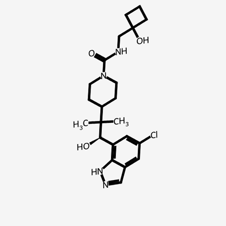 CC(C)(C1CCN(C(=O)NCC2(O)CCC2)CC1)[C@H](O)c1cc(Cl)cc2cn[nH]c12